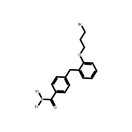 CCN(CC)C(=O)c1ccc(Cc2ccccc2OCCCBr)cc1